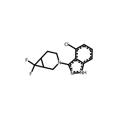 FC1(F)C2CCN(c3n[nH]c4cccc(Cl)c34)CC21